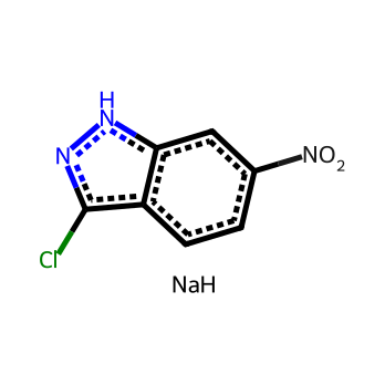 O=[N+]([O-])c1ccc2c(Cl)n[nH]c2c1.[NaH]